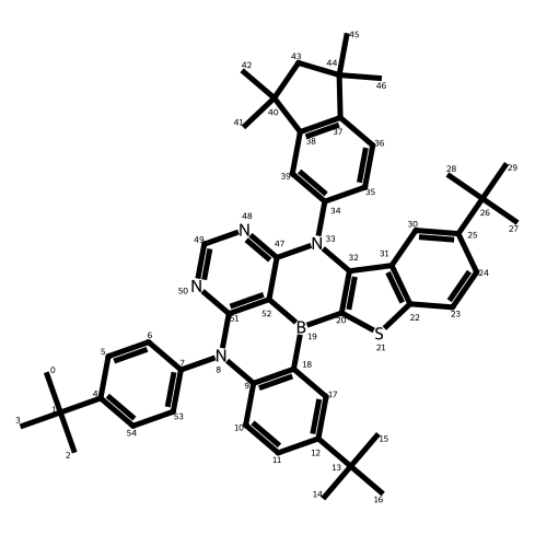 CC(C)(C)c1ccc(N2c3ccc(C(C)(C)C)cc3B3c4sc5ccc(C(C)(C)C)cc5c4N(c4ccc5c(c4)C(C)(C)CC5(C)C)c4ncnc2c43)cc1